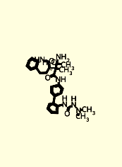 CN(C)NC(=O)Nc1ccccc1-c1ccc(NC(=O)C(C)([C@H]2CCc3ccccc3NC2=O)C(C)(C)N)cc1